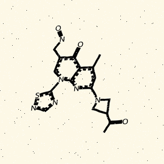 CC(=O)C1CN(c2cc(C)c3c(=O)c(CN=O)cn(-c4ncns4)c3n2)C1